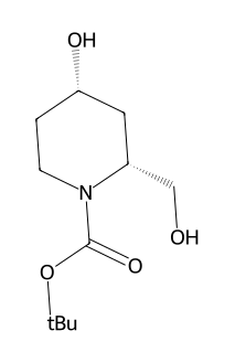 CC(C)(C)OC(=O)N1CC[C@H](O)C[C@@H]1CO